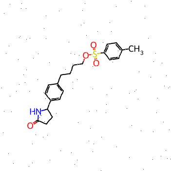 Cc1ccc(S(=O)(=O)OCCCCc2ccc(C3CCC(=O)N3)cc2)cc1